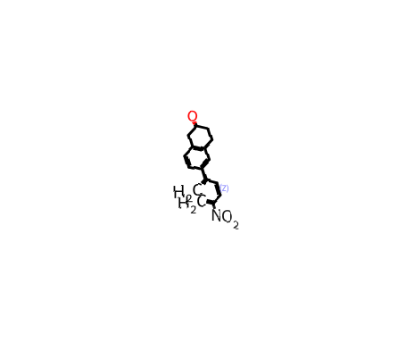 C=C(/C=C\C(=C)[N+](=O)[O-])c1ccc2c(c1)CCC(=O)C2